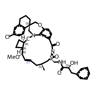 CO[C@H]1/C=C/C[C@H](C)C[S@@](=O)(CNC(=O)[C@@H](O)Cc2ccccc2)=NC(=O)c2ccc3c(c2)N(C[C@@H]2CC[C@H]21)C[C@@]1(CCCc2cc(Cl)ccc21)CO3